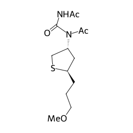 COCCC[C@@H]1C[C@@H](N(C(C)=O)C(=O)NC(C)=O)CS1